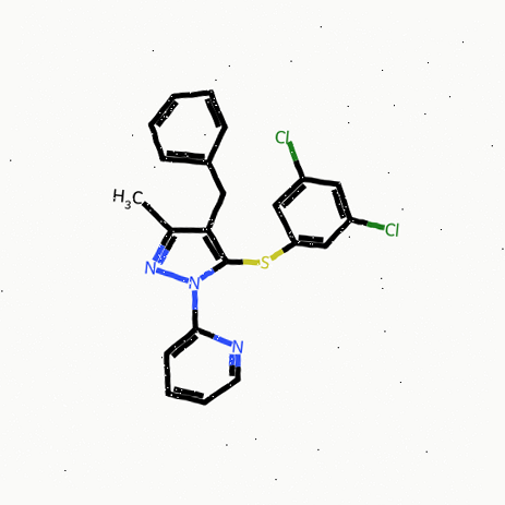 Cc1nn(-c2ccccn2)c(Sc2cc(Cl)cc(Cl)c2)c1Cc1ccccc1